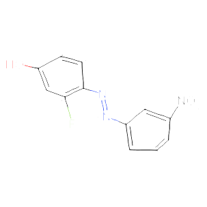 O=[N+]([O-])c1cccc(N=Nc2ccc(O)cc2F)c1